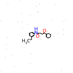 CCc1cccc(NC(=O)CCC(=O)C2=CCCCC2)c1